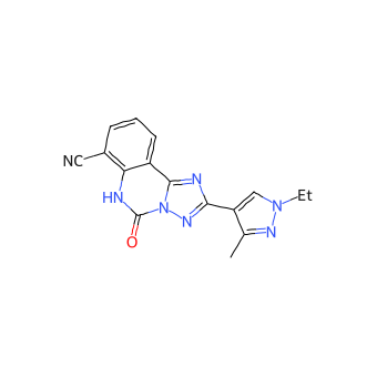 CCn1cc(-c2nc3c4cccc(C#N)c4[nH]c(=O)n3n2)c(C)n1